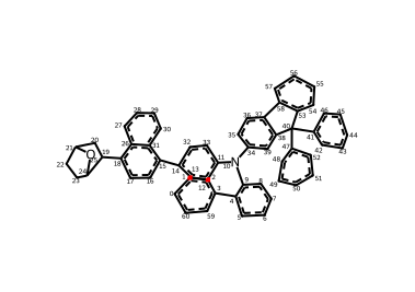 c1ccc(-c2ccccc2N(c2ccc(-c3ccc(C4CC5CCC4O5)c4ccccc34)cc2)c2ccc3c(c2)C(c2ccccc2)(c2ccccc2)c2ccccc2-3)cc1